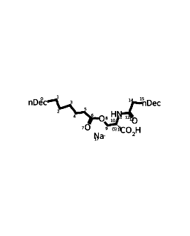 CCCCCCCCCCCCCCCC(=O)OC[C@H](NC(=O)CCCCCCCCCCC)C(=O)O.[Na]